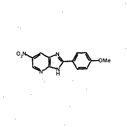 COc1ccc(-c2nc3cc([N+](=O)[O-])cnc3[nH]2)cc1